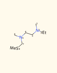 CCN(C)CCN(C)CSC